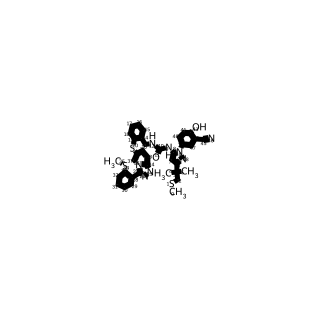 CSCC(C)(C)c1cc(NC(=O)NCc2ccccc2Sc2ccc3nnc(-c4ccccc4SC)n3c2)n(-c2ccc(O)c(C#N)c2)n1